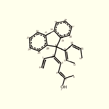 C=C/C(=C\C=C(/C)O)C1(C(/C=C\C)=C/C)c2ccccc2-c2ccccc21